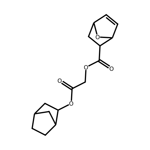 O=C(COC(=O)C1CC2C=CC1O2)OC1CC2CCC1C2